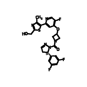 Cc1nc(CO)sc1-c1cc(OC2CN(C(=O)N3N=CC[C@H]3c3cc(F)cc(F)c3)C2)c(F)cn1